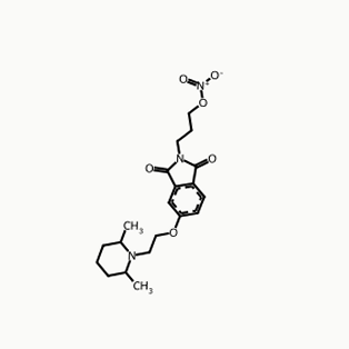 CC1CCCC(C)N1CCOc1ccc2c(c1)C(=O)N(CCCO[N+](=O)[O-])C2=O